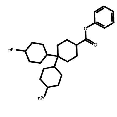 CCCC1CCC(C2(C3CCC(CCC)CC3)CCC(C(=O)Oc3ccccc3)CC2)CC1